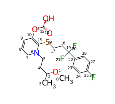 COC(C)CCN1CC=CC(OC(=O)O)=C1SCCC(F)(F)c1ccc(F)cc1